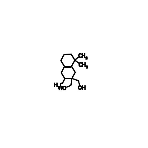 CC1CC2=C(CC1(CO)CO)C(C)(C)CCC2